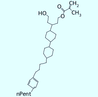 C=C(C)C(=O)OCCC(CCO)C1CCC(C2CCC(CCCCc3ccc(CCCCC)cc3)CC2)CC1